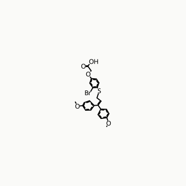 COc1ccc(C(=CCSc2ccc(OCC(=O)O)cc2Br)c2ccc(OC)cc2)cc1